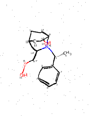 C[C@H](c1ccccc1)N1C2CCC(CC2O)C1COO